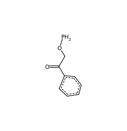 O=C(COP)c1ccccc1